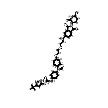 CC(C)(C)c1cc(NC(=O)Nc2ccc(-n3cnc4cc(OCCOCCNc5ccc6c(c5)C(=O)N(C5CCC(=O)NC5=O)C6=O)ccc43)cc2)[nH]n1